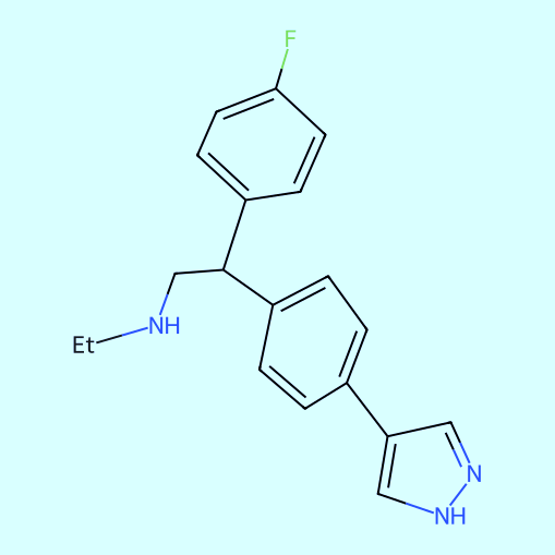 CCNCC(c1ccc(F)cc1)c1ccc(-c2cn[nH]c2)cc1